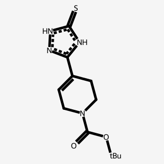 CC(C)(C)OC(=O)N1CC=C(c2n[nH]c(=S)[nH]2)CC1